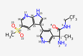 C[C@@](N)(C(=O)NCC(F)(F)F)c1cncc(-c2c[nH]c3ncc(S(C)(=O)=O)cc23)c1